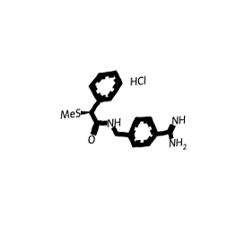 CS[C@H](C(=O)NCc1ccc(C(=N)N)cc1)c1ccccc1.Cl